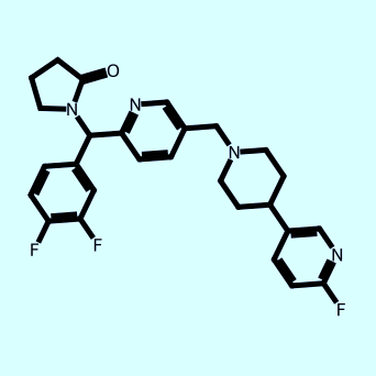 O=C1CCCN1C(c1ccc(F)c(F)c1)c1ccc(CN2CCC(c3ccc(F)nc3)CC2)cn1